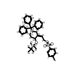 Cc1ccc(S(=O)(=O)OCC=C2CN(C(c3ccccc3)(c3ccccc3)c3ccccc3)CCC2O[Si](C)(C)C(C)(C)C)cc1